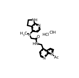 CC(=O)n1ccc2c(CNC(=O)CN(C)c3ccnc4c3CCN4)ccnc21.Cl.Cl